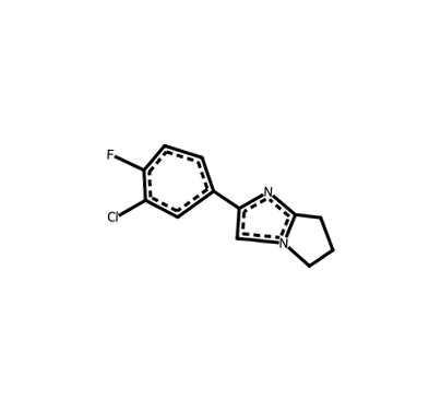 Fc1ccc(-c2cn3c(n2)CCC3)cc1Cl